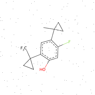 CC1(c2cc(C3(C(F)(F)F)CC3)c(O)cc2F)CC1